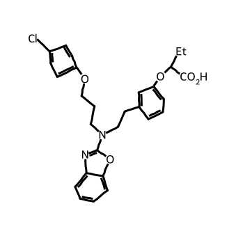 CCC(Oc1cccc(CCN(CCCOc2ccc(Cl)cc2)c2nc3ccccc3o2)c1)C(=O)O